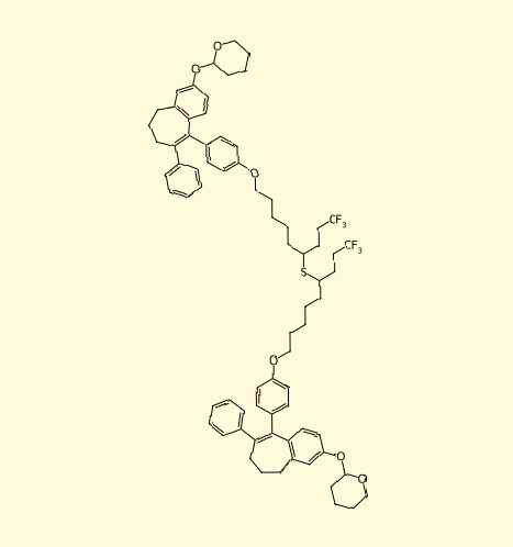 FC(F)(F)CCC(CCCCCOc1ccc(C2=C(c3ccccc3)CCCc3cc(OC4CCCCO4)ccc32)cc1)SC(CCCCCOc1ccc(C2=C(c3ccccc3)CCCc3cc(OC4CCCCO4)ccc32)cc1)CCC(F)(F)F